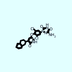 Nc1nn(-c2cc(Cl)c(Oc3cc(C4CCc5ccccc5C4)c(=O)[nH]n3)c(Cl)c2)c(=O)[nH]c1=O